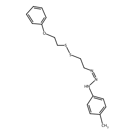 Cc1ccc(N/N=N\CCSSCCOc2ccccc2)cc1